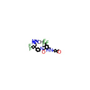 Cn1cnnc1CC1(c2cccc(N3Cc4c(cc(CNC5CC6(COC6)C5)cc4C(F)(F)F)C3=O)c2)CC(F)(F)C1